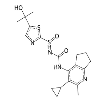 Cc1nc2c(c(NC(=O)/N=[SH](=O)/c3ncc(C(C)(C)O)s3)c1C1CC1)CCC2